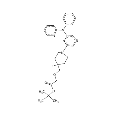 CC(C)(C)OC(=O)COCC1(F)CCN(c2cncc(N(c3ccccc3)c3ccccn3)n2)CC1